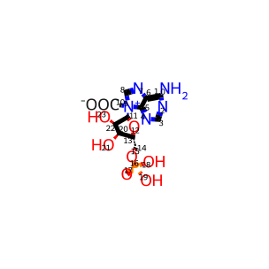 Nc1ncnc2c1N=C[N+]2(C(=O)[O-])[C@@H]1O[C@H](COP(=O)(O)O)[C@@H](O)[C@H]1O